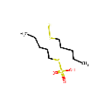 CCCCCSS.CCCCCSS(=O)(=O)O